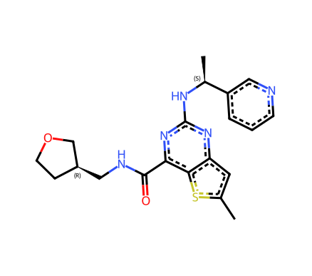 Cc1cc2nc(N[C@@H](C)c3cccnc3)nc(C(=O)NC[C@H]3CCOC3)c2s1